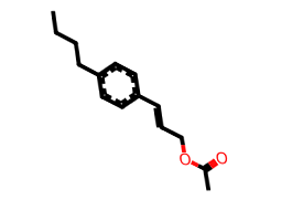 CCCCc1ccc(C=CCOC(C)=O)cc1